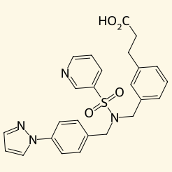 O=C(O)CCc1cccc(CN(Cc2ccc(-n3cccn3)cc2)S(=O)(=O)c2cccnc2)c1